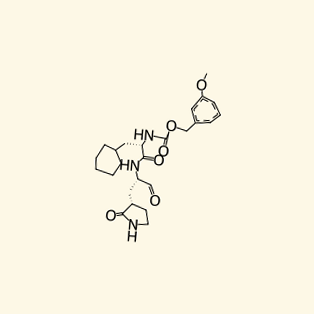 COc1cccc(COC(=O)N[C@@H](CC2CCCCC2)C(=O)N[C@H](C=O)C[C@@H]2CCNC2=O)c1